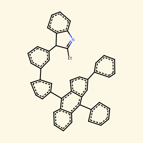 CCC1=Nc2ccccc2C1c1cccc(-c2cccc(-c3c4ccccc4c(-c4ccccc4)c4cc(-c5ccccc5)ccc34)c2)c1